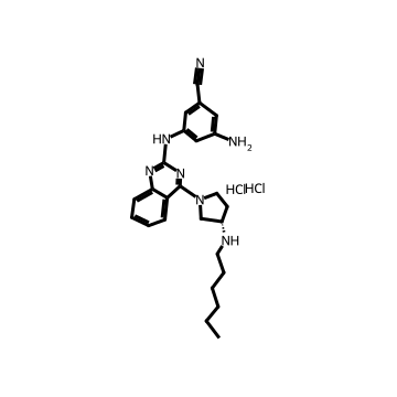 CCCCCCN[C@H]1CCN(c2nc(Nc3cc(N)cc(C#N)c3)nc3ccccc23)C1.Cl.Cl